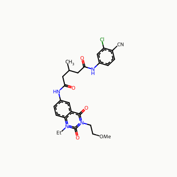 CCn1c(=O)n(CCOC)c(=O)c2cc(NC(=O)CC(C)CC(=O)Nc3ccc(C#N)c(Cl)c3)ccc21